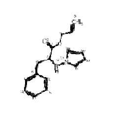 C=CCOC(=O)[C@H](Cc1ccccc1)Nn1cccc1